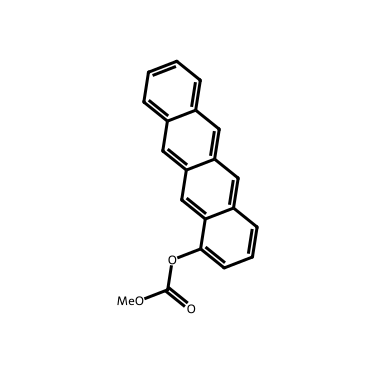 COC(=O)Oc1cccc2cc3cc4ccccc4cc3cc12